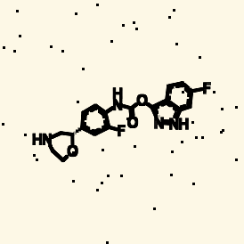 O=C(Nc1ccc([C@H]2CNCCO2)cc1F)Oc1n[nH]c2cc(F)ccc12